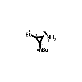 CCCCC1CC1CC.CN